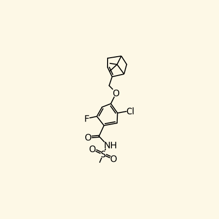 CC1(C)C2CC=C(COc3cc(F)c(C(=O)NS(C)(=O)=O)cc3Cl)C1C2